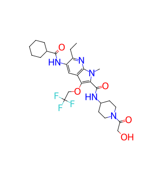 CCc1nc2c(cc1NC(=O)C1CCCCC1)c(OCC(F)(F)F)c(C(=O)NC1CCN(C(=O)CO)CC1)n2C